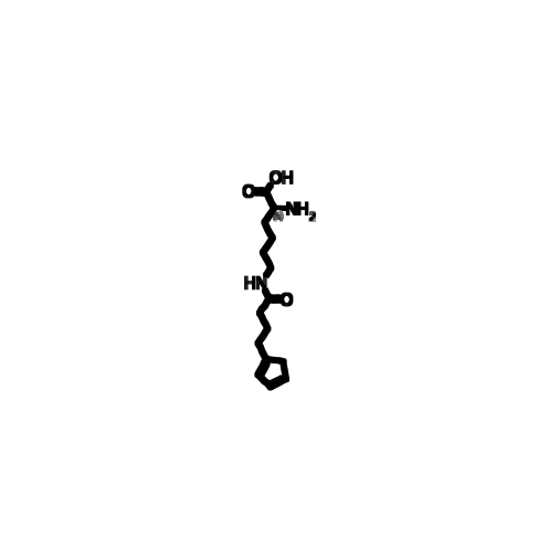 N[C@@H](CCCCNC(=O)CCCC1=CC=CC1)C(=O)O